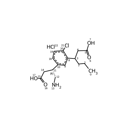 CCCC(CC(=O)O)c1cc([C@H](CN)CC(=O)O)ccc1Cl.Cl